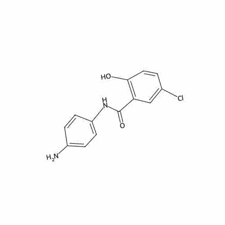 Nc1ccc(NC(=O)c2cc(Cl)ccc2O)cc1